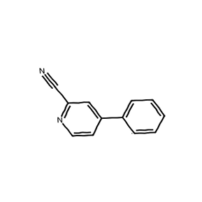 N#Cc1cc(-c2[c]cccc2)ccn1